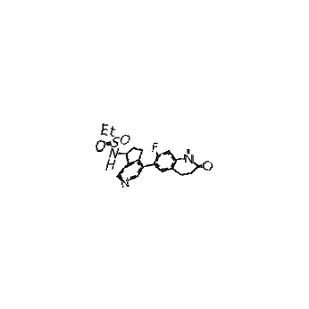 CCS(=O)(=O)N[C@H]1CCc2c(-c3cc4c(cc3F)N(C)C(=O)CC4)cncc21